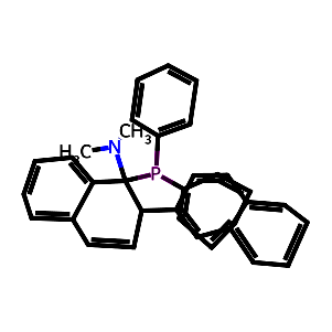 CN(C)C1(P(c2ccccc2)c2ccccc2)c2ccccc2C=CC1c1ccc2ccccc2c1